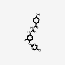 Cc1cc(NC(=O)NC(=O)C2CCC(O)CC2)ccc1Oc1ncc(Cl)cn1